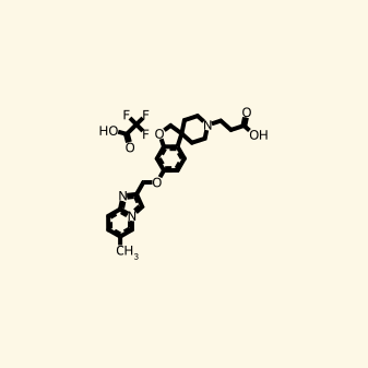 Cc1ccc2nc(COc3ccc4c(c3)OCC43CCN(CCC(=O)O)CC3)cn2c1.O=C(O)C(F)(F)F